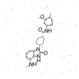 CNc1cccc2c1[nH]c(=O)n2[C@H]1CC[C@@H](C(=O)Nc2ccc(C)c(OC)c2)CC1